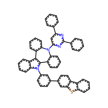 c1ccc(-c2cc(N3c4ccccc4-c4c(n(-c5cccc(-c6ccc7c(c6)sc6ccccc67)c5)c5ccccc45)-c4ccccc43)nc(-c3ccccc3)n2)cc1